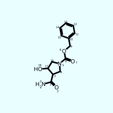 NC(=O)C1CN(C(=O)OCc2ccccc2)CC1O